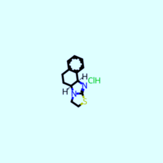 Cl.c1ccc2c(c1)CC[C@H]1[C@@H]2N=C2SCCN21